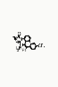 CC/C(=C(\ON)c1c(C)cccc1-n1nnn(C)c1=O)c1ccc(C(F)(F)F)cc1